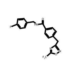 O=C(NCc1ccc(F)cc1)c1ccc(Cc2noc(C(F)(F)F)n2)cc1